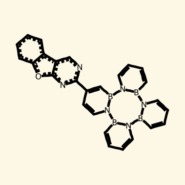 C1=CB2N(C=C1)B1C=CC=CN1B1C=C(c3ncc4c(n3)oc3ccccc34)C=CN1B1C=CC=CN21